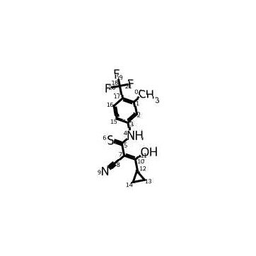 Cc1cc(NC(=S)C(C#N)=C(O)C2CC2)ccc1C(F)(F)F